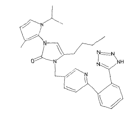 CCCCc1cn(-c2c(C)ccn2C(C)C)c(=O)n1Cc1ccc(-c2ccccc2-c2nnn[nH]2)nc1